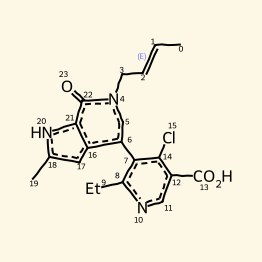 C/C=C/Cn1cc(-c2c(CC)ncc(C(=O)O)c2Cl)c2cc(C)[nH]c2c1=O